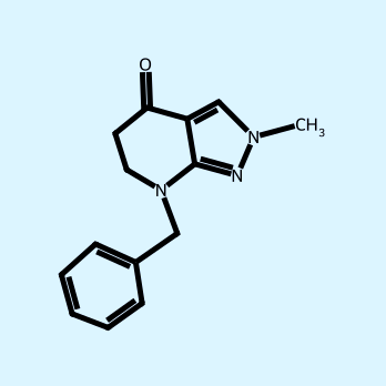 Cn1cc2c(n1)N(Cc1ccccc1)CCC2=O